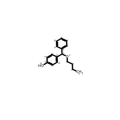 CCCCOC(c1ccccc1)c1ccc(O)cc1